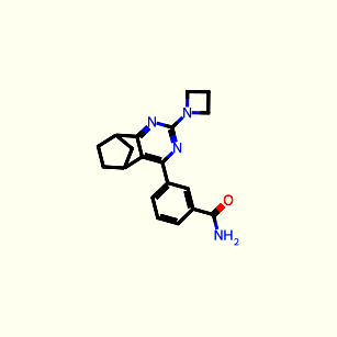 NC(=O)c1cccc(-c2nc(N3CCC3)nc3c2C2CCC3C2)c1